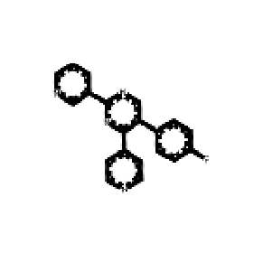 Fc1ccc(-c2cnc(-c3cccnc3)nc2-c2ccncc2)cc1